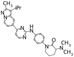 Cc1nn2ccc(-c3ccnc(Nc4ccc(N5CCCC(N(C)C)C5=O)cc4)n3)cc2c1C(C)C